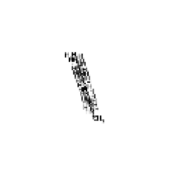 CCCNNNNNNNNNNNNNNNNNNNNNNNNNNN